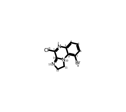 ClC1=Nc2cccc(Br)c2N2CCN=C12